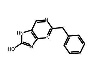 Oc1nc2nc(Cc3ccccc3)ncc2[nH]1